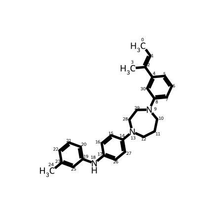 C/C=C(\C)c1cccc(N2CCCN(c3ccc(Nc4cccc(C)c4)cc3)CC2)c1